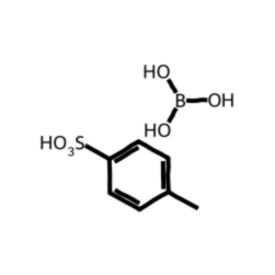 Cc1ccc(S(=O)(=O)O)cc1.OB(O)O